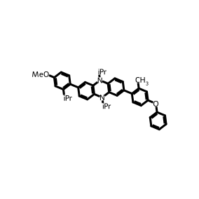 COc1ccc(-c2ccc3c(c2)N(C(C)C)c2ccc(-c4ccc(Oc5ccccc5)cc4C)cc2N3C(C)C)c(C(C)C)c1